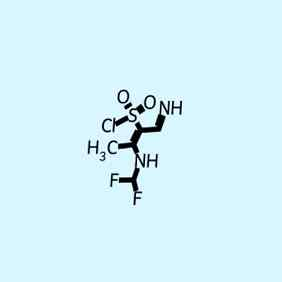 C/C(NC(F)F)=C(/C=N)S(=O)(=O)Cl